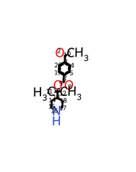 CC(=O)c1ccc(C(=O)OC(C)(C)C2CCNCC2)cc1